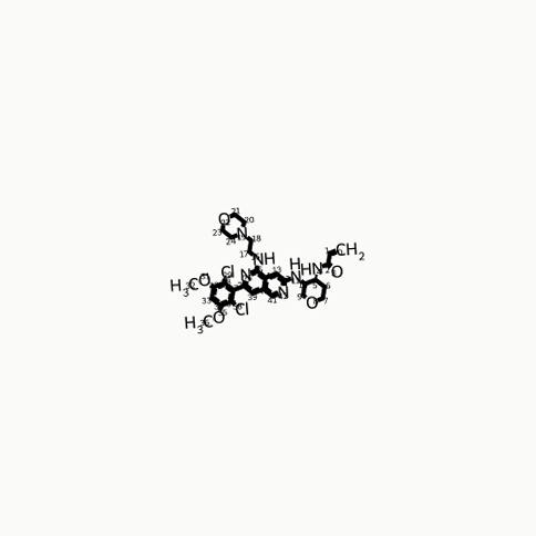 C=CC(=O)N[C@H]1CCOCC1Nc1cc2c(NCCN3CCOCC3)nc(-c3c(Cl)c(OC)cc(OC)c3Cl)cc2cn1